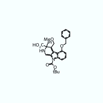 COCC1=c2c(n(C(=O)OC(C)(C)C)c3cccc(OCc4ccccc4)c23)=CNC1(C(=O)O)C(C)C